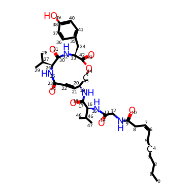 CCCCCC/C=C\CC(=O)NCC(=O)N[C@H](C(=O)N[C@@H]1/C=C/C(=O)N[C@@H](C(C)C)C(=O)N[C@@H](Cc2ccc(O)cc2)C(=O)OC1)C(C)C